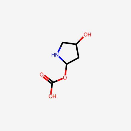 O=C(O)OC1CC(O)CN1